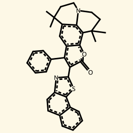 CC1(C)CCN2CCC(C)(C)c3c2c1cc1c(-c2ccccc2)c(-c2nc4ccc5ccccc5c4s2)c(=O)oc31